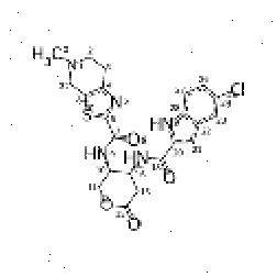 CN1CCc2nc(C(=O)N[C@@H]3COC(=O)C[C@@H]3NC(=O)c3cc4cc(Cl)ccc4[nH]3)sc2C1